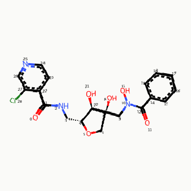 O=C(NC[C@H]1OC[C@@](O)(CN(O)C(=O)c2ccccc2)[C@@H]1O)c1ccncc1Cl